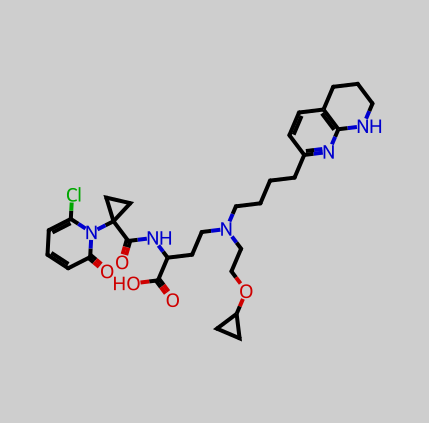 O=C(O)C(CCN(CCCCc1ccc2c(n1)NCCC2)CCOC1CC1)NC(=O)C1(n2c(Cl)cccc2=O)CC1